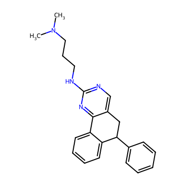 CN(C)CCCNc1ncc2c(n1)-c1ccccc1C(c1ccccc1)C2